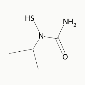 CC(C)N(S)C(N)=O